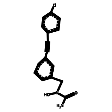 NC(=O)N(O)Cc1cccc(C#Cc2ccc(Cl)cc2)c1